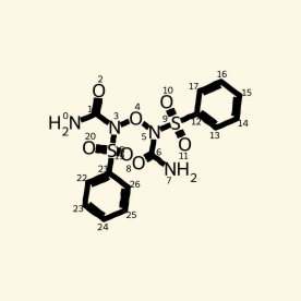 NC(=O)N(ON(C(N)=O)S(=O)(=O)c1ccccc1)S(=O)(=O)c1ccccc1